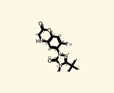 Cn1c(C(C)(C)C)nn(-c2cc3c(cc2F)OC(=O)CN3)c1=O